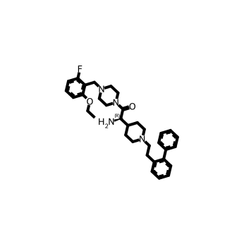 CCOc1cccc(F)c1CN1CCN(C(=O)[C@H](N)C2CCN(CCc3ccccc3-c3ccccc3)CC2)CC1